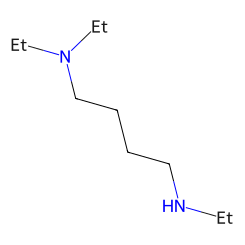 CCNCCCCN(CC)CC